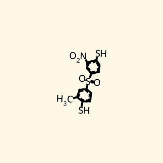 Cc1cc(S(=O)(=O)c2ccc(S)c([N+](=O)[O-])c2)ccc1S